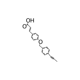 CC#Cc1ccc(COc2ccc(/C=C/C(=O)O)cc2)cc1